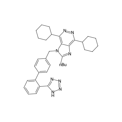 CCCCc1nc2c(C3CCCCC3)nnc(C3CCCCC3)c2n1Cc1ccc(-c2ccccc2-c2nnn[nH]2)cc1